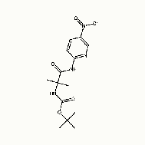 CC(C)(C)OC(=O)NC(C)(C)C(=O)Nc1ccc([N+](=O)[O-])cn1